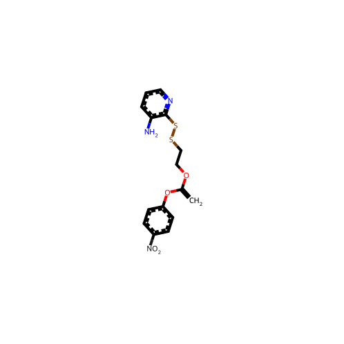 C=C(OCCSSc1ncccc1N)Oc1ccc([N+](=O)[O-])cc1